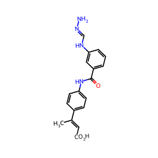 CC(=CC(=O)O)c1ccc(NC(=O)c2cccc(NC=NN)c2)cc1